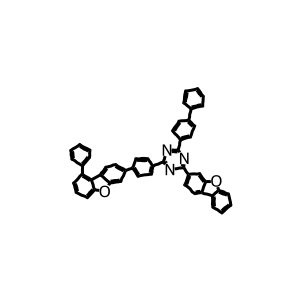 c1ccc(-c2ccc(-c3nc(-c4ccc(-c5ccc6c(c5)oc5cccc(-c7ccccc7)c56)cc4)nc(-c4ccc5c(c4)oc4ccccc45)n3)cc2)cc1